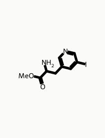 COC(=O)C(N)Cc1cncc(I)c1